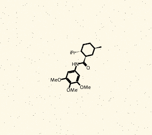 COc1cc(NC(=O)[C@@H]2C[C@H](C)CC[C@H]2C(C)C)cc(OC)c1OC